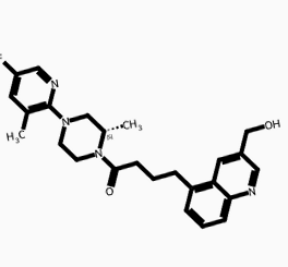 Cc1cc(F)cnc1N1CCN(C(=O)CCCc2cccc3ncc(CO)cc23)[C@@H](C)C1